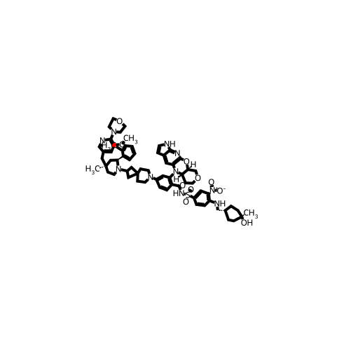 COc1cc(C[C@]2(C)CCN(C3CC4(CCN(c5ccc(C(=O)NS(=O)(=O)c6ccc(NC[C@H]7CC[C@](C)(O)CC7)c([N+](=O)[O-])c6)c(N6c7cc8cc[nH]c8nc7O[C@H]7COCC[C@@H]76)c5)CC4)C3)[C@H](c3ccccc3C)C2)cnc1N1CCOCC1